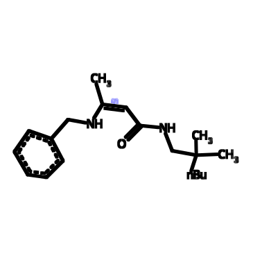 CCCCC(C)(C)CNC(=O)/C=C(/C)NCc1ccccc1